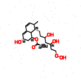 CC[C@H](C)C(=O)O[C@H]1C[C@H](O)C=C2C=CC(C)[C@H](CCC(O)C[C@@H](O)CCOO)C21